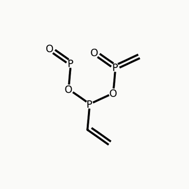 C=CP(OP=O)OP(=C)=O